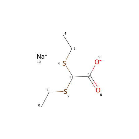 CCSC(SCC)C(=O)[O-].[Na+]